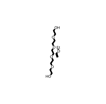 C=COCC.OCCOCCOCCOCCOCCO